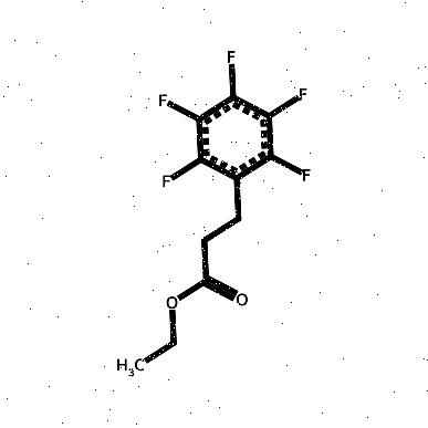 CCOC(=O)CCc1c(F)c(F)c(F)c(F)c1F